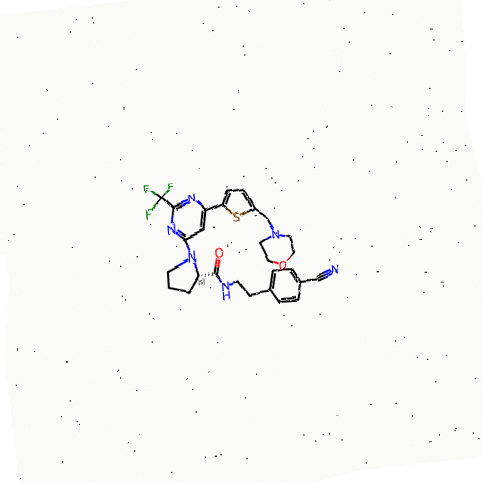 N#Cc1ccc(CCNC(=O)[C@@H]2CCCN2c2cc(-c3ccc(CN4CCOCC4)s3)nc(C(F)(F)F)n2)cc1